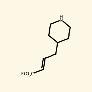 CCOC(=O)C=CCC1CCNCC1